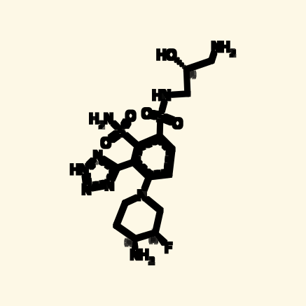 NC[C@@H](O)CNS(=O)(=O)c1ccc(N2CC[C@H](N)[C@H](F)C2)c(-c2nn[nH]n2)c1S(N)(=O)=O